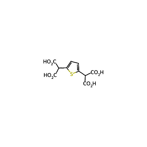 O=C(O)C(C(=O)O)c1ccc(C(C(=O)O)C(=O)O)s1